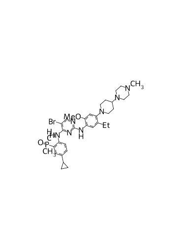 CCc1cc(Nc2ncc(Br)c(Nc3ccc(C4CC4)cc3P(C)(C)=O)n2)c(OC)cc1N1CCC(N2CCN(C)CC2)CC1